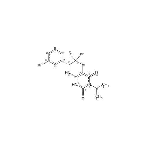 CC(C)n1c(=O)[nH]c2c(c1=O)CC(F)(F)[C@@H](c1cccc(F)c1)N2